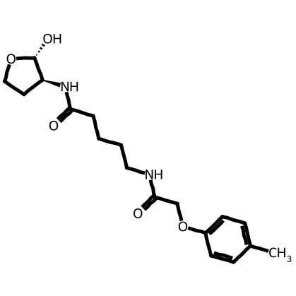 Cc1ccc(OCC(=O)NCCCCC(=O)N[C@H]2CCO[C@@H]2O)cc1